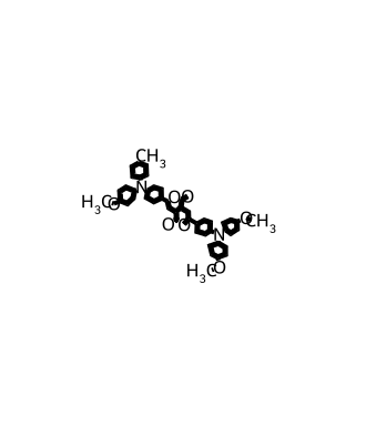 COc1ccc(N(c2ccc(C)cc2)c2ccc(-c3cc4c(=O)oc(-c5ccc(N(c6ccc(OC)cc6)c6ccc(OC)cc6)cc5)cc4c(=O)o3)cc2)cc1